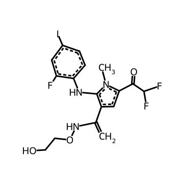 C=C(NOCCO)c1cc(C(=O)C(F)F)n(C)c1Nc1ccc(I)cc1F